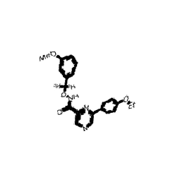 [2H]C([2H])(ONC(=O)c1cncc(-c2ccc(OCC)cc2)n1)c1cccc(OC)c1